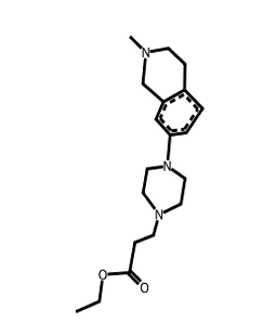 CCOC(=O)CCN1CCN(c2ccc3c(c2)CN(C)CC3)CC1